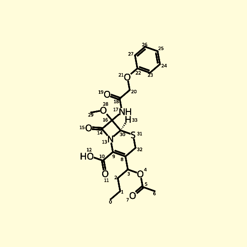 CCCC(OC(C)=O)C1=C(C(=O)O)N2C(=O)C(NC(=O)COc3ccccc3)(OC)[C@H]2SC1